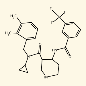 Cc1cccc(CN(C(=O)C2CNCCC2NC(=O)c2cccc(C(F)(F)F)c2)C2CC2)c1C